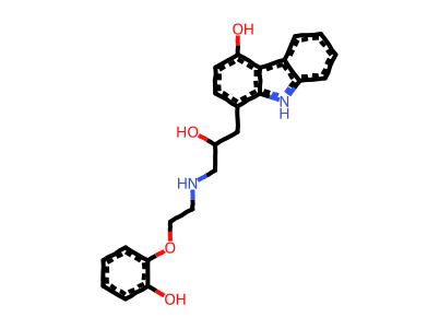 Oc1ccccc1OCCNCC(O)Cc1ccc(O)c2c1[nH]c1ccccc12